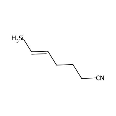 N#CCCCC=C[SiH3]